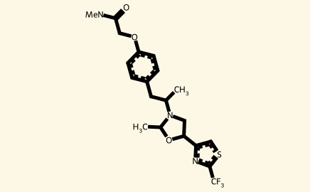 CNC(=O)COc1ccc(CC(C)N2CC(c3csc(C(F)(F)F)n3)OC2C)cc1